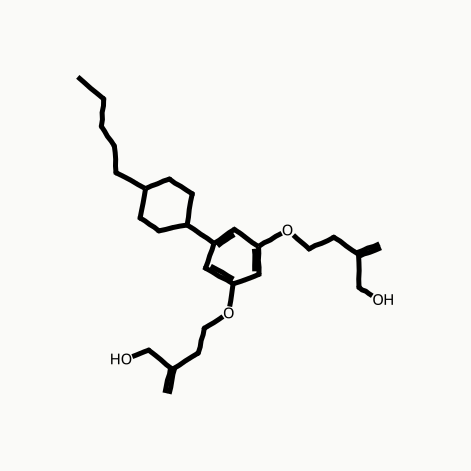 C=C(CO)CCOc1cc(OCCC(=C)CO)cc(C2CCC(CCCCC)CC2)c1